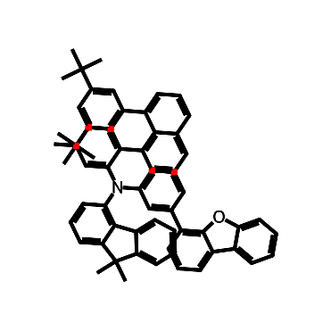 CC1C=C(N(c2cccc(-c3cccc4c3oc3ccccc34)c2)c2cccc3c2-c2ccccc2C3(C)C)C(c2cccc3cccc(-c4cc(C(C)(C)C)cc(C(C)(C)C)c4)c23)=CC1